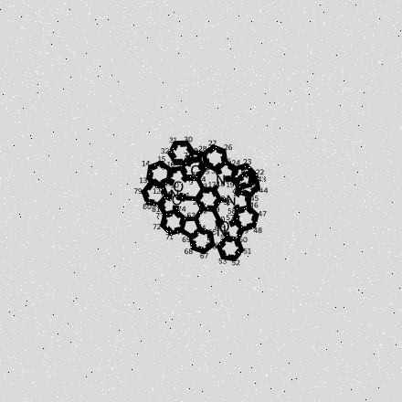 N#Cc1c(-c2cccc3c2oc2ccccc23)c(-n2c3ccccc3c3ccc4c5ccccc5oc4c32)c(-n2c3ccccc3c3ccc4c5ccccc5oc4c32)c(C#N)c1C1c2ccccc2-c2ccc3c(oc4ccccc43)c21